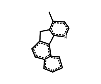 Cc1ccnc2c1Cc1ccc3ccccc3c1-2